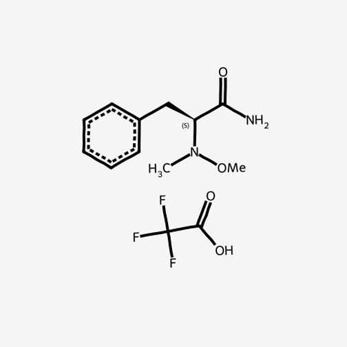 CON(C)[C@@H](Cc1ccccc1)C(N)=O.O=C(O)C(F)(F)F